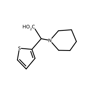 O=C(O)C(c1cccs1)N1CCCCC1